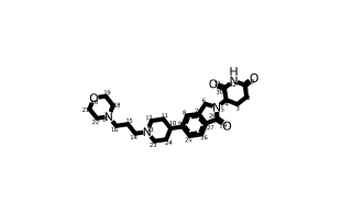 O=C1CCC(N2Cc3cc(C4CCN(CCCN5CCOCC5)CC4)ccc3C2=O)C(=O)N1